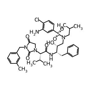 Cc1cccc(CN2C(=O)CN([C@H](C(=O)N[C@@H](Cc3ccccc3)[C@H](O)CN(CC(C)C)S(=O)(=O)c3ccc(Cl)c(N)c3)C(C)C)C2=O)c1